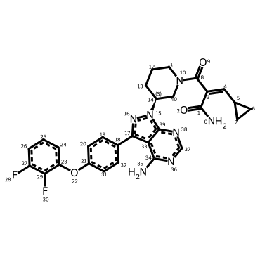 NC(=O)C(=CC1CC1)C(=O)N1CCC[C@H](n2nc(-c3ccc(Oc4cccc(F)c4F)cc3)c3c(N)ncnc32)C1